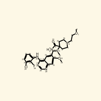 COCCN1CCC(C(N)=O)(N(C)Cc2cc3c(Nc4cccc(Cl)c4F)ncnc3cc2OC)CC1